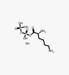 NCCCC[C@H](N)C(=O)OP(=O)(O)OP(=O)(O)O.[KH]